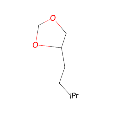 CC(C)CCC1COCO1